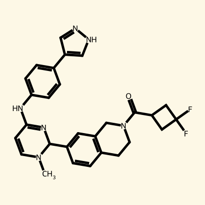 CN1C=CC(Nc2ccc(-c3cn[nH]c3)cc2)=NC1c1ccc2c(c1)CN(C(=O)C1CC(F)(F)C1)CC2